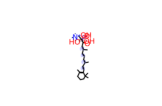 CC1=C(/C=C/C(C)=C/C=C/C(C)=C/C(=O)[C@](O)(C[N+](C)(C)C)P(=O)(O)O)C(C)(C)CCC1